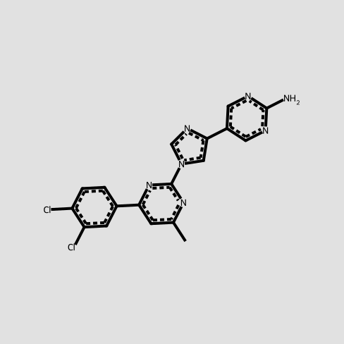 Cc1cc(-c2ccc(Cl)c(Cl)c2)nc(-n2cnc(-c3cnc(N)nc3)c2)n1